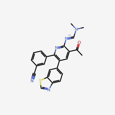 CC(=O)c1cc(-c2ccc3ncsc3c2)c(-c2cccc(C#N)c2)nc1/N=C/N(C)C